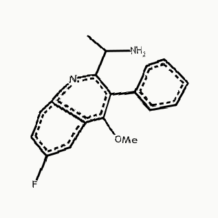 COc1c(-c2ccccc2)c(C(C)N)nc2ccc(F)cc12